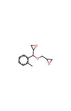 Cc1ccccc1C(OCC1CO1)C1CO1